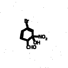 O=CC1C=CC(Br)=CC1(O)[N+](=O)[O-]